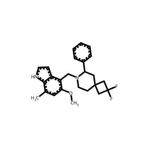 COc1cc(C)c2[nH]ccc2c1CN1CCC2(CC1c1ccccc1)CC(F)(F)C2